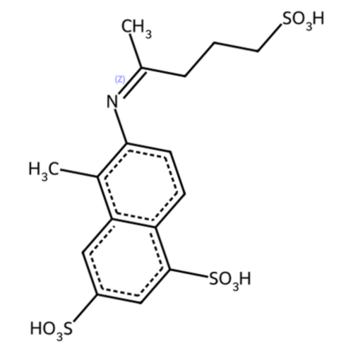 C/C(CCCS(=O)(=O)O)=N/c1ccc2c(S(=O)(=O)O)cc(S(=O)(=O)O)cc2c1C